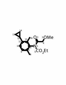 CCOC(=O)N(C(=O)COC)c1c(C)ccc(C2CC2)c1C